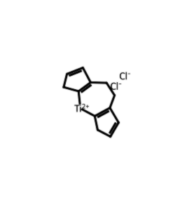 C1=CC2=[C](C1)[Ti+2][C]1=C(C=CC1)CC2.[Cl-].[Cl-]